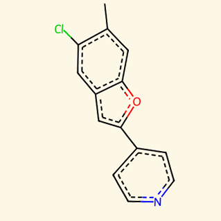 Cc1cc2oc(-c3ccncc3)cc2cc1Cl